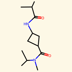 CC(C)C(=O)NC1CC(C(=O)N(C)C(C)C)C1